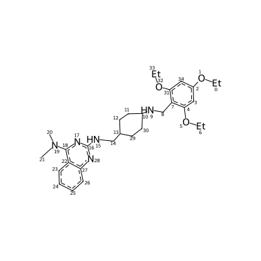 CCOc1cc(OCC)c(CNC2CCC(CNc3nc(N(C)C)c4ccccc4n3)CC2)c(OCC)c1